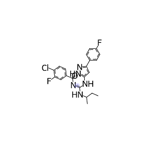 CCC(C)N/C(=N/C(=O)c1ccc(Cl)c(F)c1)Nc1cc(-c2ccc(F)cc2)n[nH]1